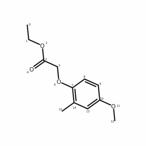 CCOC(=O)COc1ccc(OC)cc1C